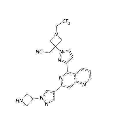 N#CCC1(n2ccc(-c3nc(-c4cnn(C5CNC5)c4)cc4ncccc34)n2)CN(CC(F)(F)F)C1